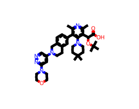 Cc1nc(C)c(C(OC(C)(C)C)C(=O)O)c(N2CCC(C)(C)CC2)c1-c1ccc2c(c1)CCN(c1cnnc(N3CCOCC3)c1)C2